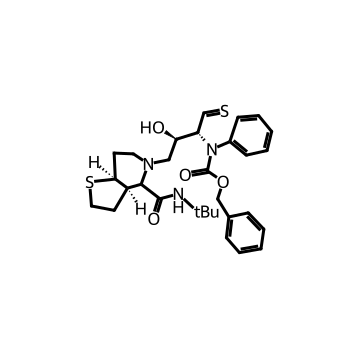 CC(C)(C)NC(=O)C1[C@H]2CCS[C@H]2CCN1C[C@@H](O)[C@H](C=S)N(C(=O)OCc1ccccc1)c1ccccc1